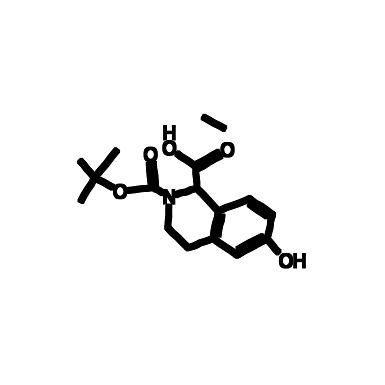 CC.CC(C)(C)OC(=O)N1CCc2cc(O)ccc2C1C(=O)O